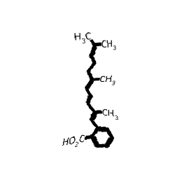 CC(C)=CCC/C(C)=C/C=C/C(C)=C/c1ccccc1C(=O)O